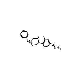 COc1ccc2c(c1)CCC1CN(Cc3ccccc3)CCC21